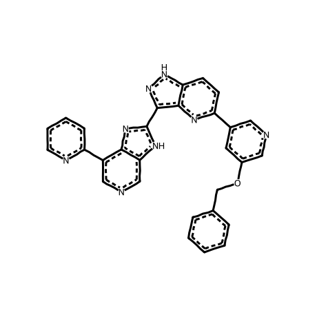 c1ccc(COc2cncc(-c3ccc4[nH]nc(-c5nc6c(-c7ccccn7)cncc6[nH]5)c4n3)c2)cc1